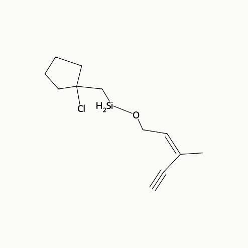 C#CC(C)=CCO[SiH2]CC1(Cl)CCCC1